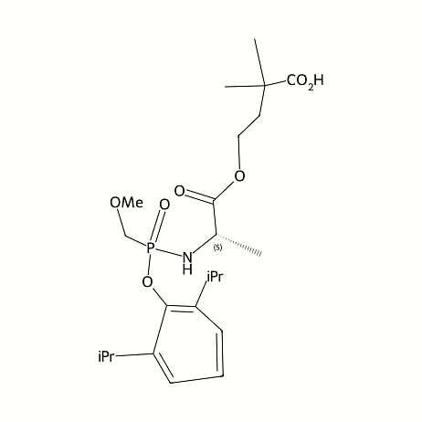 COCP(=O)(N[C@@H](C)C(=O)OCCC(C)(C)C(=O)O)Oc1c(C(C)C)cccc1C(C)C